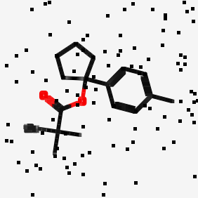 Cc1ccc(C2(OC(=O)C(C)(C)C(C)(C)C)CCCC2)cc1